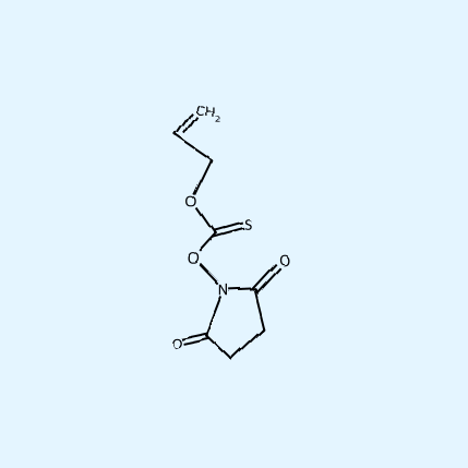 C=CCOC(=S)ON1C(=O)CCC1=O